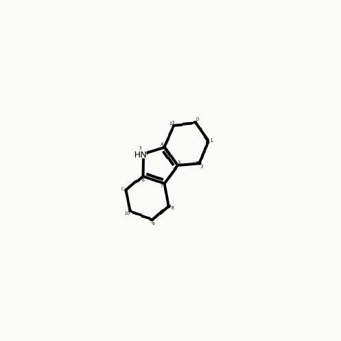 C1CCc2c([nH]c3c2CCCC3)C1